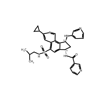 CC(C)CNS(=O)(=O)c1cc2c(c3cnc(C4CC4)cc13)[C@@H](Nc1cccnc1)C[C@@H]2NC(=O)c1cccnc1